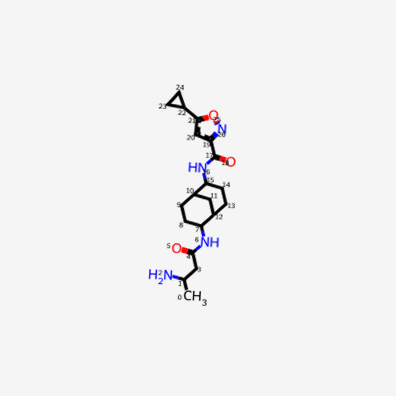 CC(N)CC(=O)NC1CCC2CC1CCC2NC(=O)c1cc(C2CC2)on1